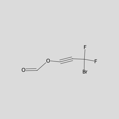 O=COC#CC(F)(F)Br